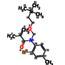 C=C(C)C(=O)N(COCC[Si](C)(C)C)c1ccc(C)cc1Br